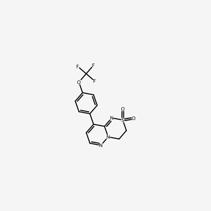 O=S1(=O)CCN2N=CC=C(c3ccc(OC(F)(F)F)cc3)C2=N1